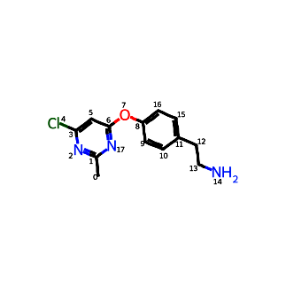 Cc1nc(Cl)cc(Oc2ccc(CCN)cc2)n1